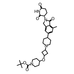 Cc1cc(C2CCN(C3CC(OC4CCN(C(=O)OC(C)(C)C)CC4)C3)CC2)cc2c1C(=O)N([C@@H]1CCC(=O)NC1=O)C2